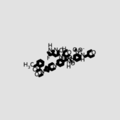 CC(C)c1ccccc1[C@@H]1COCCN1C1CC2(CCN(c3ccc(C(=O)NS(=O)(=O)c4ccc(NCC5CCOCC5)c([N+](=O)[O-])c4)c(N4c5cc6c(F)c[nH]c6nc5O[C@H]5COCC[C@@H]54)c3)CC2)C1